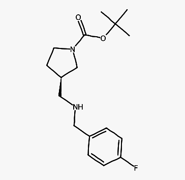 CC(C)(C)OC(=O)N1CC[C@H](CNCc2ccc(F)cc2)C1